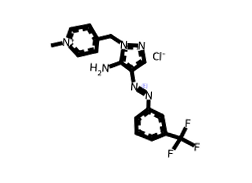 C[n+]1ccc(Cn2ncc(/N=N/c3cccc(C(F)(F)F)c3)c2N)cc1.[Cl-]